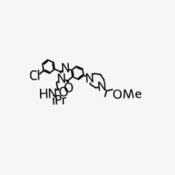 COCC(C)N1CCCN(c2ccc3nc(-c4cccc(Cl)c4)n(CC(=O)NC(C)C)c(=O)c3c2)CC1